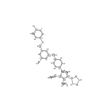 Cc1ccc(COc2cc(F)cc(Oc3ccc(-n4nc(C5CCCC5)c(N)c4C#N)cc3)c2)cn1